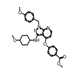 COC(=O)c1ccc(Oc2ccnc3c2c(NC2CCC(OC)CC2)nn3Cc2ccc(OC)cc2)cc1